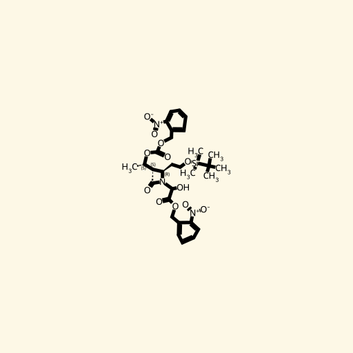 C[C@H](OC(=O)OCc1ccccc1[N+](=O)[O-])[C@H]1C(=O)N(C(O)C(=O)OCc2ccccc2[N+](=O)[O-])[C@@H]1CCO[Si](C)(C)C(C)(C)C